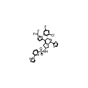 O=S(=O)(N[C@H]1CC2=C(c3ccn(C(F)F)n3)[C@H](c3ccc(F)cc3Cl)N=C(c3nccs3)N2C1)c1cccc(-n2cccn2)n1